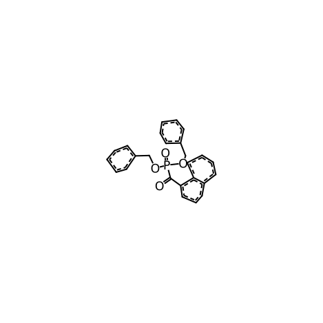 O=C(c1cccc2ccccc12)P(=O)(OCc1ccccc1)OCc1ccccc1